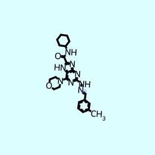 Cc1cccc(/C=N/Nc2nc(N3CCOCC3)c3[nH]c(C(=O)NC4CCCCC4)nc3n2)c1